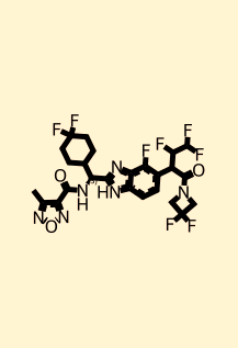 Cc1nonc1C(=O)N[C@H](c1nc2c(F)c(C(C(=O)N3CC(F)(F)C3)C(F)C(F)F)ccc2[nH]1)C1CCC(F)(F)CC1